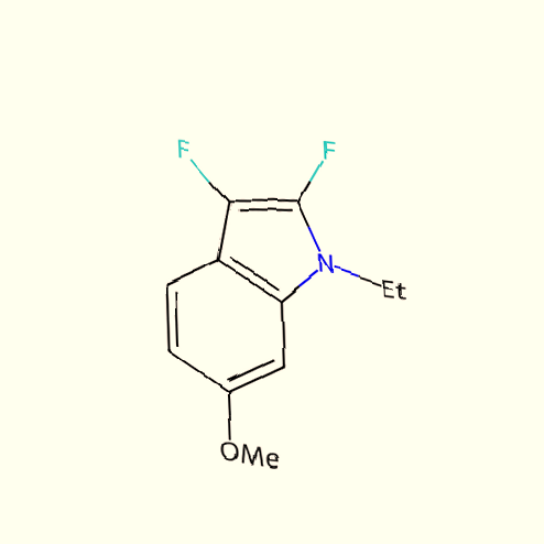 CCn1c(F)c(F)c2ccc(OC)cc21